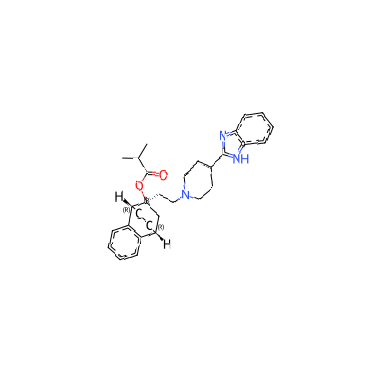 CC(C)C(=O)O[C@@]1(CCN2CCC(c3nc4ccccc4[nH]3)CC2)C[C@H]2CC[C@@H]1c1ccccc12